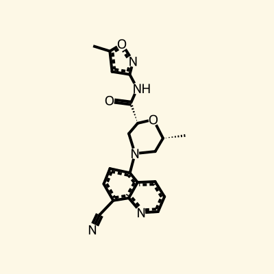 Cc1cc(NC(=O)[C@H]2CN(c3ccc(C#N)c4ncccc34)C[C@@H](C)O2)no1